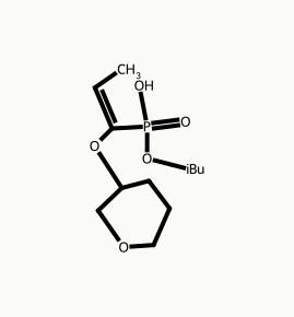 CC=C(OC1CCCOC1)P(=O)(O)OC(C)CC